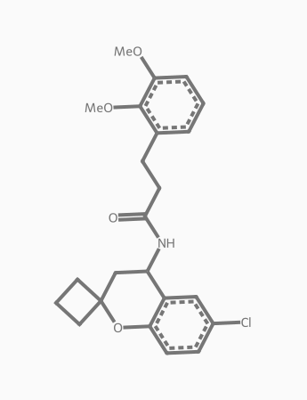 COc1cccc(CCC(=O)NC2CC3(CCC3)Oc3ccc(Cl)cc32)c1OC